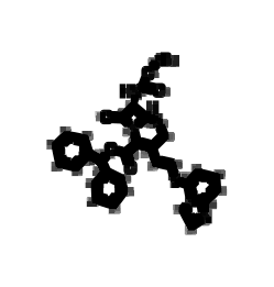 CC(C)(C)OC(=O)N[C@@H]1C(=O)N2C(C(=O)OC(c3ccccc3)c3ccccc3)=C(/C=C/Sc3cccc4nccn34)CS[C@@H]12